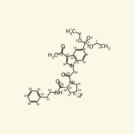 CCOP(=O)(OCC)c1ccc2c(c1)c(C(C)=O)cn2CC(=O)N1C[C@H](F)C[C@H]1C(=O)NCCc1ccccc1